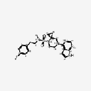 CN(CCc1ccc(F)cc1)S(=O)(=O)N1CCN(c2ncnc3[nH]ccc23)CC12CC2